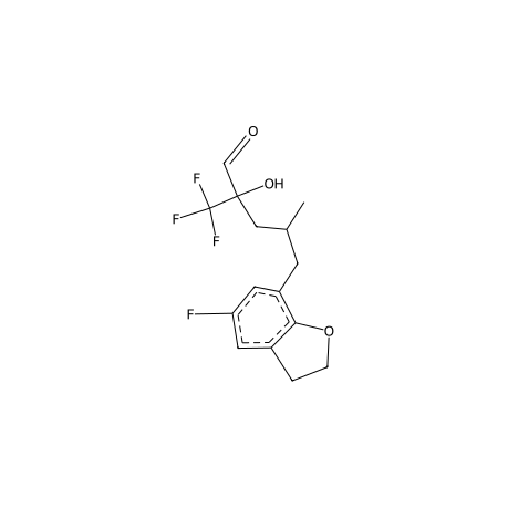 CC(Cc1cc(F)cc2c1OCC2)CC(O)(C=O)C(F)(F)F